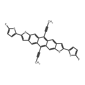 CC#Cc1c2cc3cc(-c4ccc(F)s4)sc3cc2c(C#CC)c2cc3cc(-c4ccc(F)s4)sc3cc12